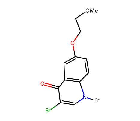 COCCOc1ccc2c(c1)c(=O)c(Br)cn2C(C)C